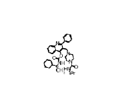 CC(C)NC(=O)N1CCN(Cc2c(-c3ccccc3)nc3ccccc3c2OC(=O)N[C@@H](C)C2CCCCC2)CC1